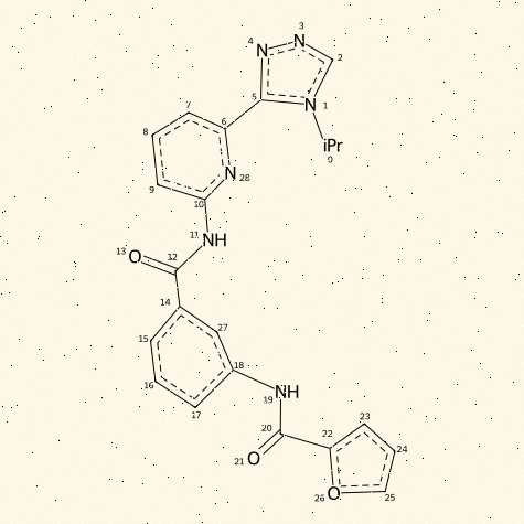 CC(C)n1cnnc1-c1cccc(NC(=O)c2cccc(NC(=O)c3ccco3)c2)n1